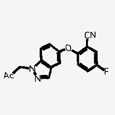 CC(=O)Cn1ncc2cc(Oc3ccc(F)cc3C#N)ccc21